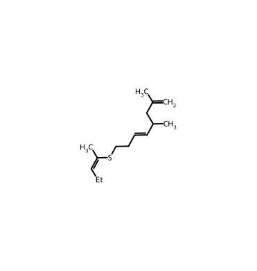 C=C(C)CC(C)/C=C/CCS/C(C)=C\CC